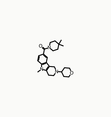 Cn1c2c(c3cc(C(=O)N4CCC(C)(C)CC4)ccc31)CN(C1CCOCC1)CC2